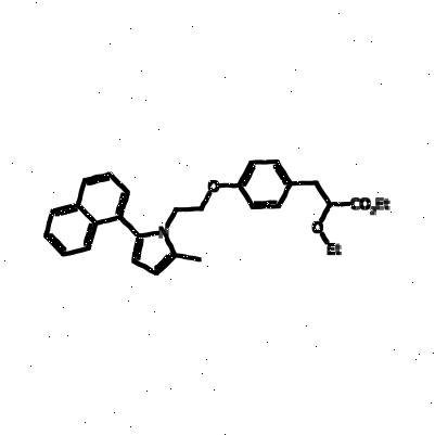 CCOC(=O)C(Cc1ccc(OCCn2c(C)ccc2-c2cccc3ccccc23)cc1)OCC